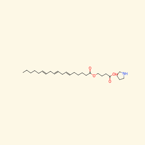 C1CCNC1.CCCCCC=CCC=CCC=CCCCCC(=O)OCCCC(=O)O